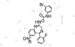 O=C(Nc1cccc(Br)c1)ONC1=Nc2ccc([N+](=O)[O-])cc2C(c2ccccc2F)=NC1